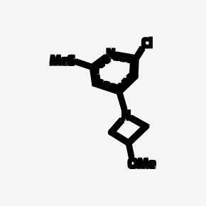 COC1CN(c2cc(Cl)nc(SC)c2)C1